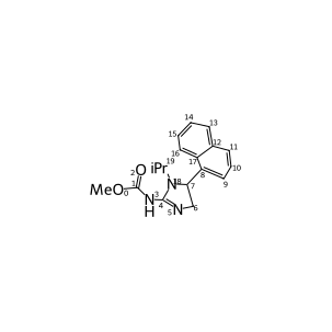 COC(=O)NC1=NCC(c2cccc3ccccc23)N1C(C)C